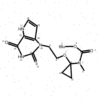 CN(C(=O)OC(C)(C)C)C1(OCCn2c(=S)[nH]c(=O)c3[nH]ccc32)CC1